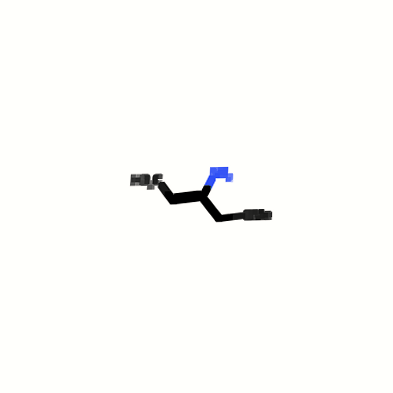 COCC(N)=CC(=O)O